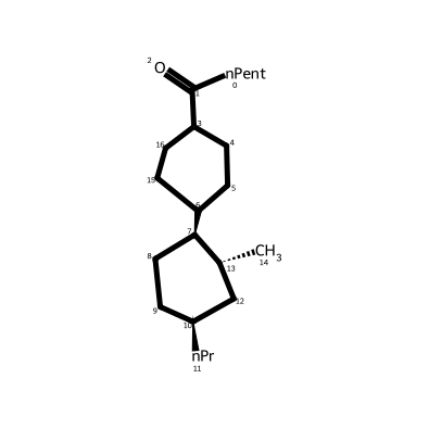 CCCCCC(=O)C1CCC([C@@H]2CC[C@H](CCC)C[C@H]2C)CC1